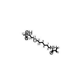 C=C(C)C(=O)NCCCCCCOCCCP(C)(=O)O